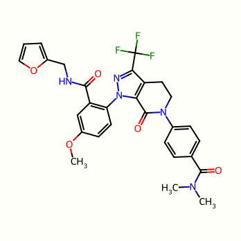 COc1ccc(-n2nc(C(F)(F)F)c3c2C(=O)N(c2ccc(C(=O)N(C)C)cc2)CC3)c(C(=O)NCc2ccco2)c1